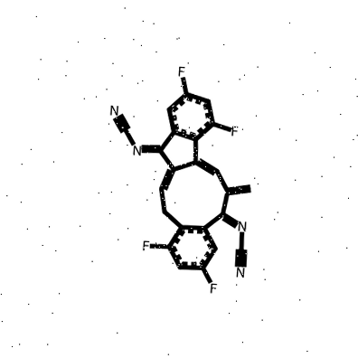 C=C1\C=C2C(=C\Cc3c(F)cc(F)cc3/C1=N\C#N)/C(=N/C#N)c1cc(F)cc(F)c1/2